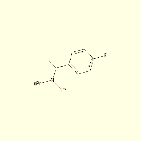 CCCN(C(C)C)C(C)c1ccc(F)cc1